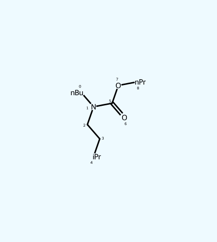 CCCCN(CCC(C)C)C(=O)OCCC